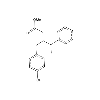 COC(=O)CC(Cc1ccc(O)cc1)C(C)c1ccccc1